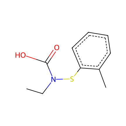 CCN(Sc1ccccc1C)C(=O)O